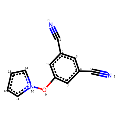 N#Cc1cc(C#N)cc(On2c[c]cc2)c1